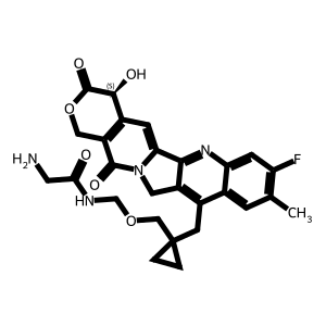 Cc1cc2c(CC3(COCNC(=O)CN)CC3)c3c(nc2cc1F)-c1cc2c(c(=O)n1C3)COC(=O)[C@H]2O